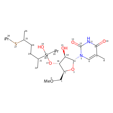 COC[C@@H]1O[C@@H](n2cc(C)c(=O)[nH]c2=O)[C@H](O)[C@H]1O[Si](O)(C(C)C)C(C)CCC(C)SC(C)C